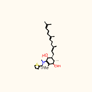 COC1=C(N(C)Cc2cccs2)[C@@H](O)[C@@H](C/C=C(\C)CC/C=C(\C)CCC=C(C)C)[C@H](C)C1O